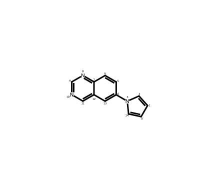 c1ccn(-c2ccc3ncncc3c2)c1